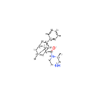 C[C@H]1CNCCN1C(=O)C12CC3CC(C)(C1)CC(c1ccccc1)(C3)C2